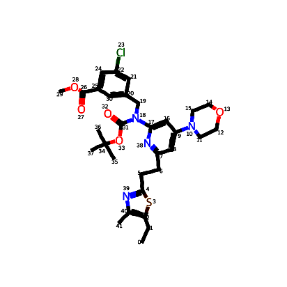 CCc1sc(CCc2cc(N3CCOCC3)cc(N(Cc3cc(Cl)cc(C(=O)OC)c3)C(=O)OC(C)(C)C)n2)nc1C